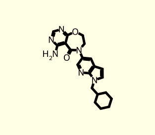 Nc1ncnc2c1C(=O)N(c1cnc3c(ccn3CC3CCCCC3)c1)CCO2